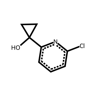 OC1(c2cccc(Cl)n2)CC1